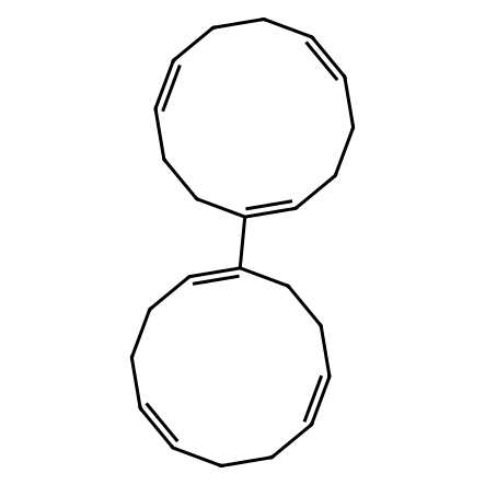 C1=CCCC=C(C2=CCCC=CCCC=CCC2)CCC=CCC1